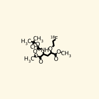 COC(=O)C(CC(OCC[18F])C(=O)OC)NC(=O)OC(C)(C)C